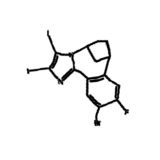 Fc1cc2c(cc1Br)-c1nc(I)c(I)n1C1CC2C1